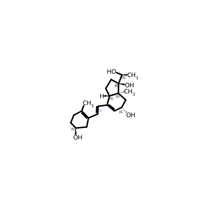 CC1=C(/C=C/C2=C[C@@H](O)C[C@@]3(C)[C@H]2CC[C@]3(O)[C@H](C)O)C[C@@H](O)CC1